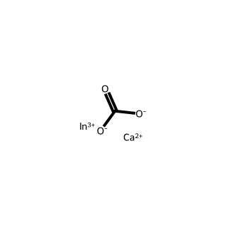 O=C([O-])[O-].[Ca+2].[In+3]